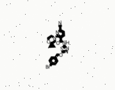 N#Cc1ccc(C(=O)Nc2nnc(OCc3ccc(Br)cc3)s2)c(N2CCOC3(CC3)C2)n1